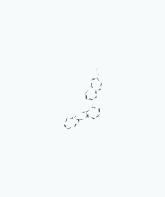 Clc1ccc2cc(-c3cccc4c3sc3ccccc34)ccc2c1